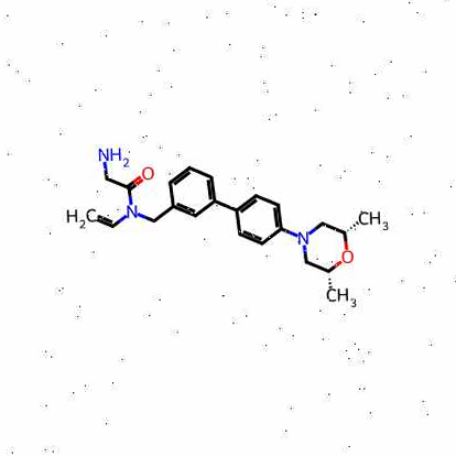 C=CN(Cc1cccc(-c2ccc(N3C[C@@H](C)O[C@@H](C)C3)cc2)c1)C(=O)CN